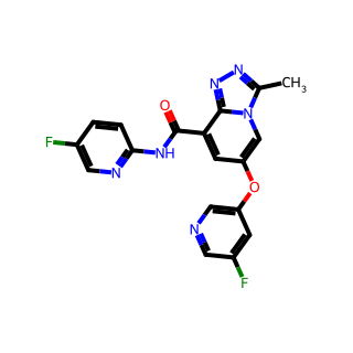 Cc1nnc2c(C(=O)Nc3ccc(F)cn3)cc(Oc3cncc(F)c3)cn12